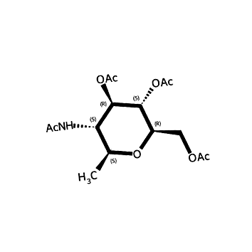 CC(=O)N[C@@H]1[C@@H](OC(C)=O)[C@H](OC(C)=O)[C@@H](COC(C)=O)O[C@H]1C